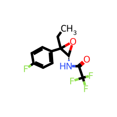 CCC1(c2ccc(F)cc2)O[C@@H]1NC(=O)C(F)(F)F